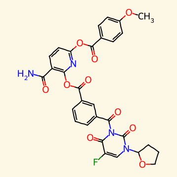 COc1ccc(C(=O)Oc2ccc(C(N)=O)c(OC(=O)c3cccc(C(=O)n4c(=O)c(F)cn(C5CCCO5)c4=O)c3)n2)cc1